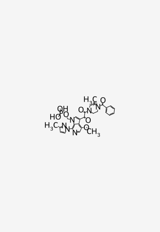 COc1cnc(-n2ccc(C)n2)c2c1c(C(=O)C(=O)N1CCN(C(=O)c3ccccc3)[C@H](C)C1)cn2COP(O)O